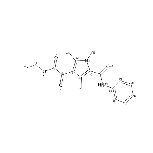 CCOC(=O)C(=O)c1c(C)c(C(=O)Nc2ccccc2)n(C)c1C